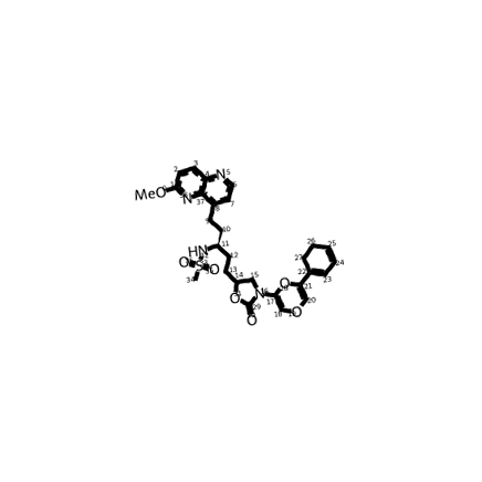 COc1ccc2nccc(CC[C@@H](CCC3CN(C4=COC=C(C5=CC=CCC5)O4)C(=O)O3)NS(C)(=O)=O)c2n1